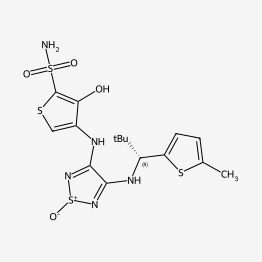 Cc1ccc([C@H](Nc2n[s+]([O-])nc2Nc2csc(S(N)(=O)=O)c2O)C(C)(C)C)s1